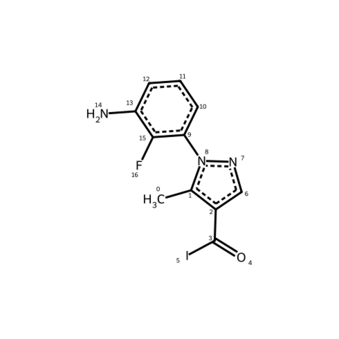 Cc1c(C(=O)I)cnn1-c1cccc(N)c1F